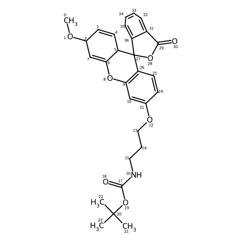 COC1C=CC2C(=C1)Oc1cc(OCCCNC(=O)OC(C)(C)C)ccc1C21OC(=O)c2ccccc21